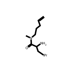 C=CCCCN(C)C(=O)C(N)CC(C)C